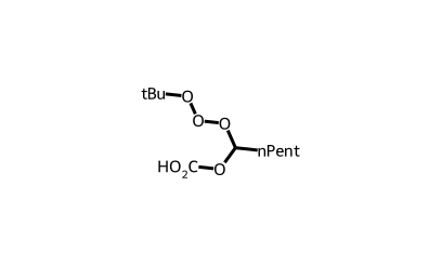 CCCCCC(OOOC(C)(C)C)OC(=O)O